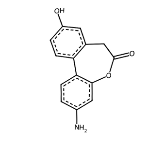 Nc1ccc2c(c1)OC(=O)Cc1cc(O)ccc1-2